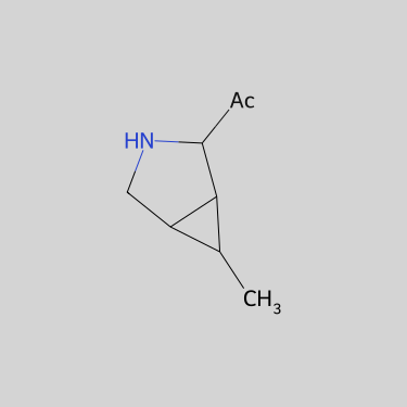 CC(=O)C1NCC2C(C)C12